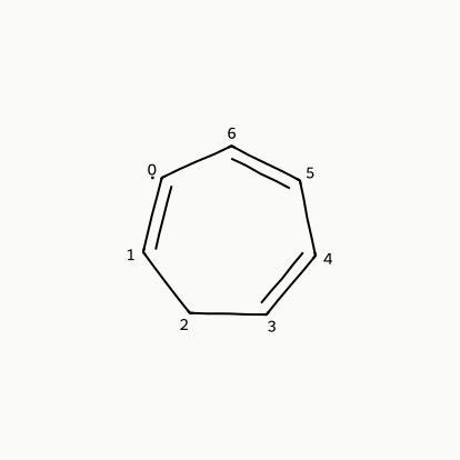 [C]1=CCC=CC=C1